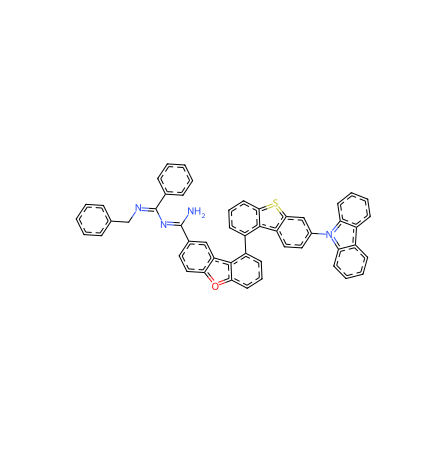 N/C(=N\C(=N/Cc1ccccc1)c1ccccc1)c1ccc2oc3cccc(-c4cccc5sc6cc(-n7c8ccccc8c8ccccc87)ccc6c45)c3c2c1